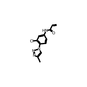 C=CC(=O)Nc1ccc(-n2cc(C)nn2)c(Cl)c1